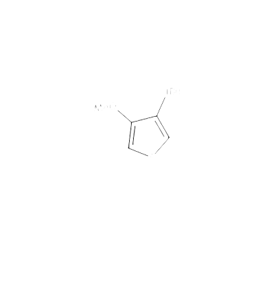 COc1cscc1C(C)(C)C